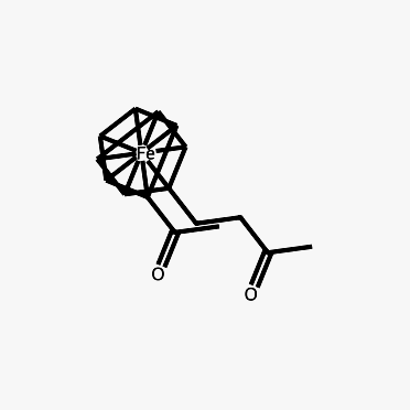 CC(=O)CC[C]12[CH]3[CH]4[CH]5[CH]1[Fe]45321678[CH]2[CH]1[CH]6[C]7(C(C)=O)[CH]28